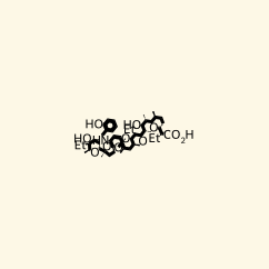 CC[C@@H](C(=O)[C@@H](C)[C@@H](O)[C@H](C)[C@@H]1O[C@@H]([C@@H](CC)C(=O)O)CC[C@@H]1C)[C@H]1O[C@]2(C=C[C@@H](NCc3ccccc3O)[C@]3(CC[C@@](C)([C@H]4CC[C@](O)(CC)[C@H](C)O4)O3)O2)[C@H](C)C[C@@H]1C